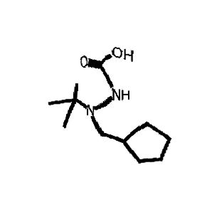 CC(C)(C)N(CC1CCCC1)NC(=O)O